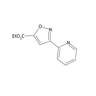 CCOC(=O)c1cc(-c2ccccn2)no1